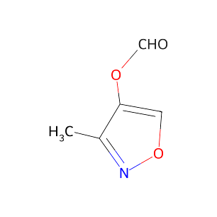 Cc1nocc1OC=O